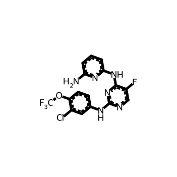 Nc1cccc(Nc2nc(Nc3ccc(OC(F)(F)F)c(Cl)c3)ncc2F)n1